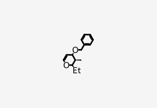 CC[C@H]1OC=C[C@@H](OCc2ccccc2)[C@H]1C